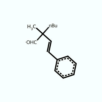 CCCCC(C)([C]=O)C=Cc1ccccc1